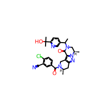 CC(c1ccc(C(C)(C)O)nc1)N1C[C@@H](C)n2nc3c(c2C1=O)CN(C(=O)c1ccc(Cl)c(C#N)c1)[C@H](C)C3